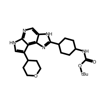 CC(C)(C)OC(=O)NC1CCC(c2nc3c(cnc4[nH]cc(C5CCOCC5)c43)[nH]2)CC1